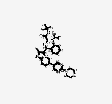 Cc1nc2ccc(-c3cnc(N4CCOCC4)nc3)cn2c1C(OCC(=O)OC(C)(C)C)c1ccccc1OC(F)F